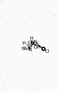 Cc1[nH]c2c(c1COC(=O)C(C)(C)C)C(O)N(C#Cc1ccc(Cl)cc1)C=N2